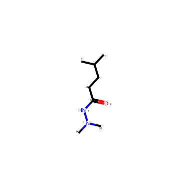 CC(C)CCC(=O)NN(C)C